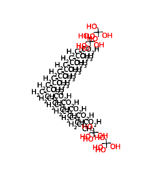 C=C(C)C(=O)O.C=C(C)C(=O)O.C=C(C)C(=O)O.C=C(C)C(=O)O.C=C(C)C(=O)O.C=C(C)C(=O)O.C=C(C)C(=O)O.C=C(C)C(=O)O.C=C(C)C(=O)O.C=C(C)C(=O)O.C=C(C)C(=O)O.C=C(C)C(=O)O.OCC(CO)(CO)CO.OCC(CO)(CO)CO.OCC(CO)(CO)CO.OCC(CO)(CO)CO